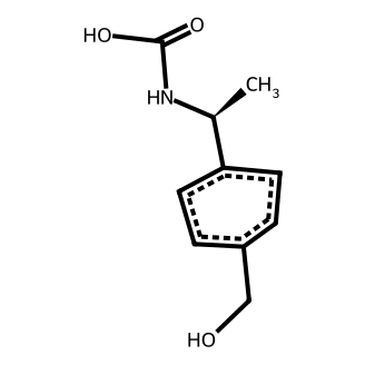 C[C@H](NC(=O)O)c1ccc(CO)cc1